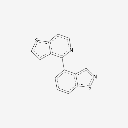 c1cc(-c2nccc3sccc23)c2cnsc2c1